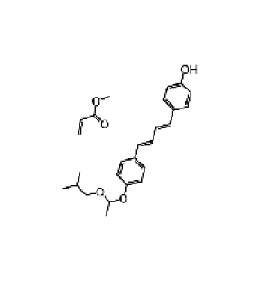 C=CC(=O)OC.CC(C)COC(C)Oc1ccc(C=CC=Cc2ccc(O)cc2)cc1